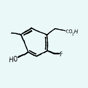 Cc1cc(CC(=O)O)c(F)cc1O